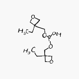 CCC1(COP(O)OCC2(CC)COC2)COC1